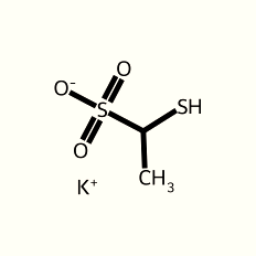 CC(S)S(=O)(=O)[O-].[K+]